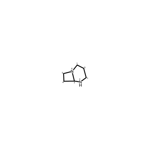 C1CNC2CCN2C1